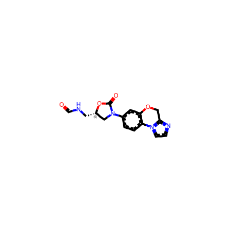 O=CNC[C@H]1CN(c2ccc3c(c2)OCc2nccn2-3)C(=O)O1